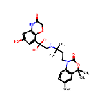 COc1ccc2c(c1)C(C)(C)OC(=O)N2CCC(C)(C)NCC(O)(O)c1cc(O)cc2c1OCC(=O)N2